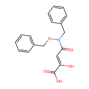 O=C(O)C(O)=CC(=O)N(Cc1ccccc1)OCc1ccccc1